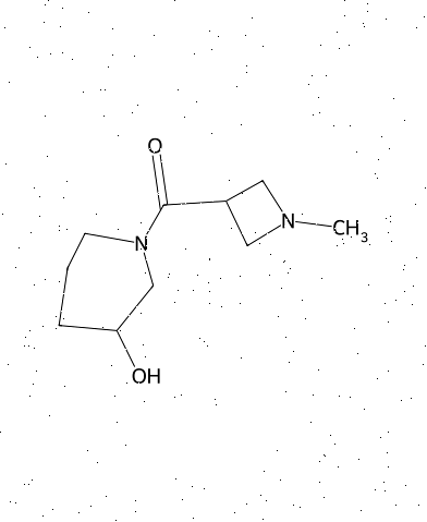 CN1CC(C(=O)N2CCCC(O)C2)C1